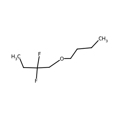 CCCCOCC(F)(F)CC